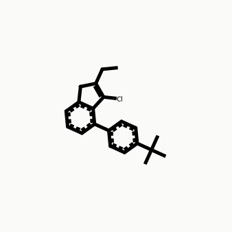 CCC1=C(Cl)c2c(cccc2-c2ccc(C(C)(C)C)cc2)[CH]1